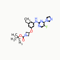 CCc1cc(Nc2ncc(F)c(-n3ccnc3)n2)cc(OC2CN(C(=O)OC(C)(C)C)C2)c1